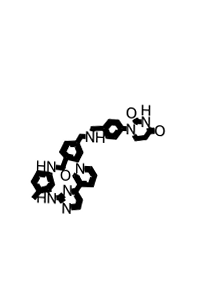 Cc1ccc(NC(=O)c2ccc(CNCc3ccc(N4CCC(=O)NC4=O)cc3)cc2)cc1Nc1nccc(-c2cccnc2)n1